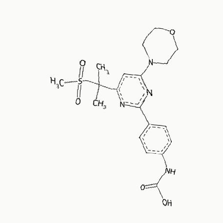 CC(C)(c1cc(N2CCOCC2)nc(-c2ccc(NC(=O)O)cc2)n1)S(C)(=O)=O